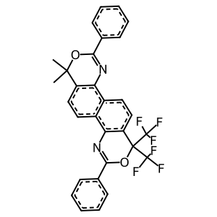 CC1(C)OC(c2ccccc2)=Nc2c1ccc1c3c(ccc21)C(C(F)(F)F)(C(F)(F)F)OC(c1ccccc1)=N3